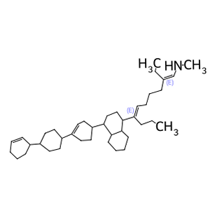 CCC/C(=C\CCC/C(=C/NC)CC)C1CCC(C2CC=C(C3CCC(C4C=CCCC4)CC3)CC2)C2CCCCC12